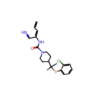 C=C/C=C(\C=N)NC(=O)N1CCC(C(C)(C)Sc2ccccc2Cl)CC1